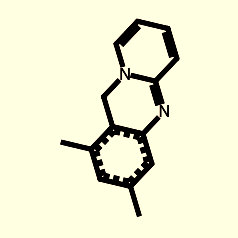 Cc1cc(C)c2c(c1)N=C1C=CC=CN1C2